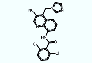 N#Cc1cnc2c(NC(=O)c3c(Cl)cccc3Cl)cccc2c1Cn1ccnc1